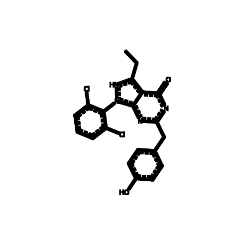 CCc1[nH]n(-c2c(Cl)cccc2Cl)c2nc(Cc3ccc(O)cc3)nc(=O)c1-2